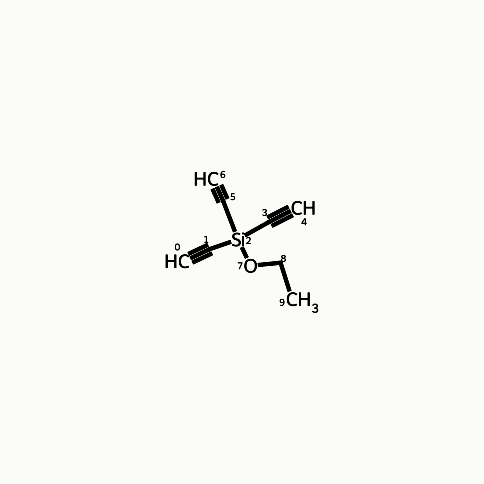 C#C[Si](C#C)(C#C)OCC